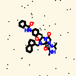 CNC(=O)N(C(C)C)N1CC(=O)N2[C@@H](Cc3ccc(NC(=O)c4ccccc4)cc3)C(=O)N(Cc3cccc4ccccc34)C[C@@H]21